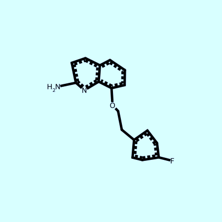 Nc1ccc2cccc(OCCc3ccc(F)cc3)c2n1